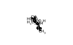 C[C@@H](O)[C@H]1C(=O)N2C(C(=O)O)=C(S[C@@H]3CN[C@H](CN4CCCN5C4=CCN5C)C3)[C@H](C)[C@H]12.Cl